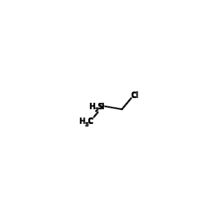 C[SiH2]CCl